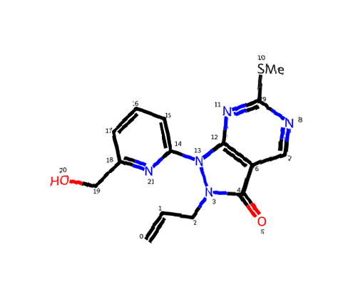 C=CCn1c(=O)c2cnc(SC)nc2n1-c1cccc(CO)n1